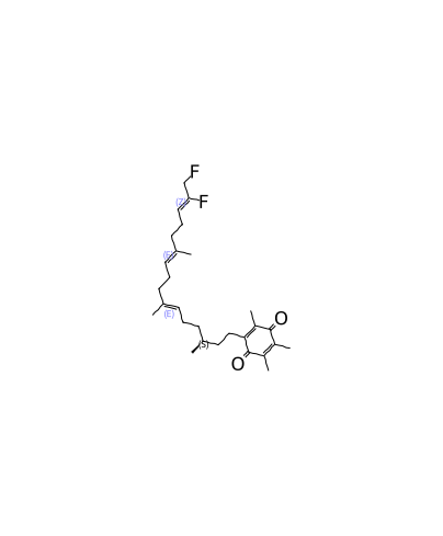 CC1=C(C)C(=O)C(CC[C@@H](C)CC/C=C(\C)CC/C=C(\C)CC/C=C(\F)CF)=C(C)C1=O